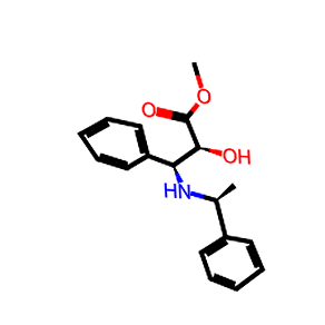 COC(=O)[C@@H](O)[C@@H](N[C@@H](C)c1ccccc1)c1ccccc1